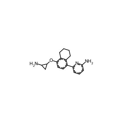 Nc1cccc(-c2ccc(OC3CC3N)c3c2CCCC3)n1